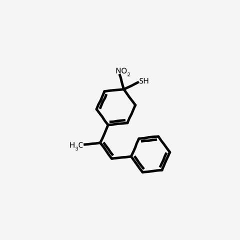 CC(=Cc1ccccc1)C1=CCC(S)([N+](=O)[O-])C=C1